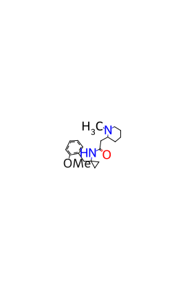 COc1ccccc1CC1(NC(=O)CC2CCCCN2C)CC1